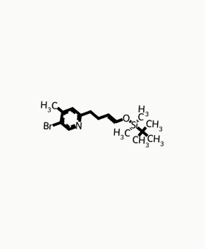 Cc1cc(CCC=CO[Si](C)(C)C(C)(C)C)ncc1Br